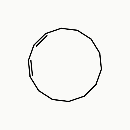 [CH]1CCCC=CC=CCCCCCC1